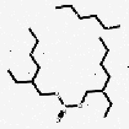 CCCCC(CC)CO[PH](=O)OCC(CC)CCCC.CCCCCC